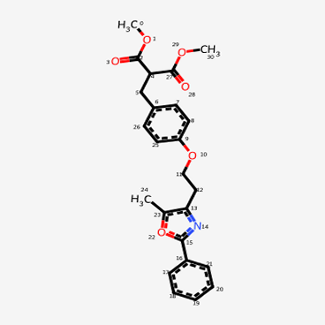 COC(=O)C(Cc1ccc(OCCc2nc(-c3ccccc3)oc2C)cc1)C(=O)OC